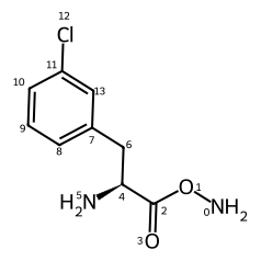 NOC(=O)[C@@H](N)Cc1cccc(Cl)c1